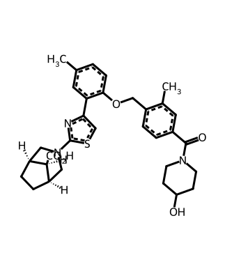 Cc1ccc(OCc2ccc(C(=O)N3CCC(O)CC3)cc2C)c(-c2csc(N3C[C@H]4CC[C@@H](C3)[C@H]4C(=O)O)n2)c1